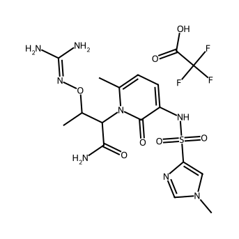 Cc1ccc(NS(=O)(=O)c2cn(C)cn2)c(=O)n1C(C(N)=O)C(C)ON=C(N)N.O=C(O)C(F)(F)F